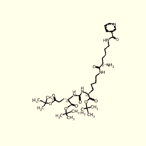 CC(C)(C)OC(=O)CC[C@H](NC(=O)N[C@@H](CCCCNC(=O)[C@@H](N)CCCCNC(=O)c1cccnc1)C(=O)OC(C)(C)C)C(=O)OC(C)(C)C